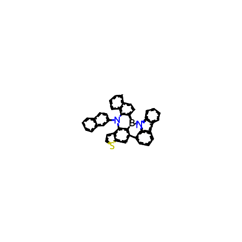 c1ccc2cc(N3c4c(ccc5ccccc45)B4c5c(cc6sccc6c53)-c3cccc5c6ccccc6n4c35)ccc2c1